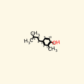 Cc1cc(CCC(C)C)ccc1O